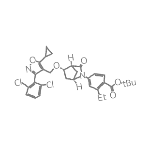 CCc1cc(N2C(=O)[C@@H]3C[C@H]2C[C@H]3OCc2c(-c3c(Cl)cccc3Cl)noc2C2CC2)ccc1C(=O)OC(C)(C)C